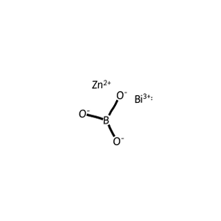 [Bi+3].[O-]B([O-])[O-].[Zn+2]